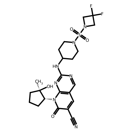 C[C@@]1(O)CCC[C@H]1n1c(=O)c(C#N)cc2cnc(NC3CCN(S(=O)(=O)N4CC(F)(F)C4)CC3)nc21